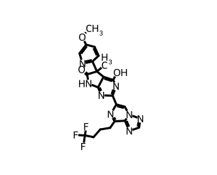 COc1ccc(C2(C)C(=O)Nc3nc(-c4cn5ncnc5c(CCCC(F)(F)F)n4)nc(O)c32)nc1